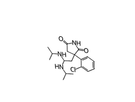 CC(C)NC(CC1(c2ccccc2Cl)CC(=O)NC1=O)NC(C)C